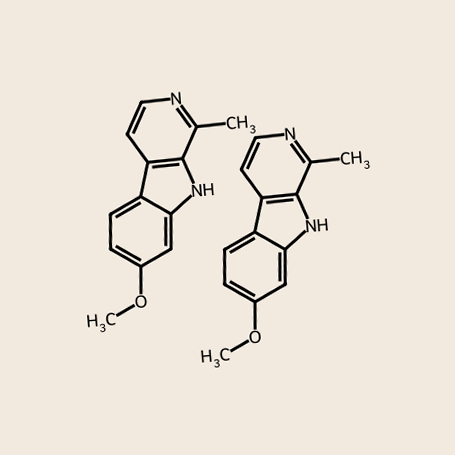 COc1ccc2c(c1)[nH]c1c(C)nccc12.COc1ccc2c(c1)[nH]c1c(C)nccc12